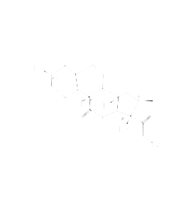 C[C@@H]1C[C@H]2[C@@H]3CCC4C[C@H](O)CC[C@]4(C)[C@H]3C(=O)C[C@]2(C)[C@@]1(O)C(=O)CBr